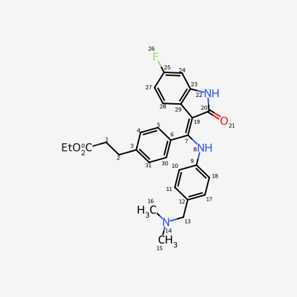 CCOC(=O)CCc1ccc(/C(Nc2ccc(CN(C)C)cc2)=C2/C(=O)Nc3cc(F)ccc32)cc1